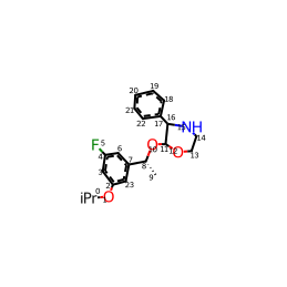 CC(C)Oc1cc(F)cc([C@@H](C)OC2OCCNC2c2ccccc2)c1